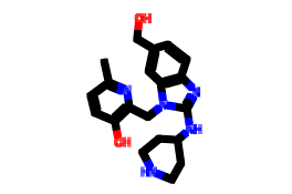 Cc1ccc(O)c(Cn2c(NC3CCNCC3)nc3ccc(CO)cc32)n1